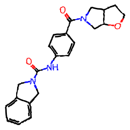 O=C(Nc1ccc(C(=O)N2CC3CCOC3C2)cc1)N1Cc2ccccc2C1